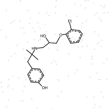 CCc1ccccc1OCC(O)CNC(C)(C)Cc1ccc(O)cc1